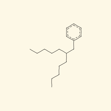 CCCCCC(CCCCC)Cc1ccccc1